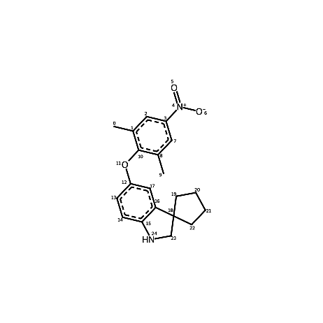 Cc1cc([N+](=O)[O-])cc(C)c1Oc1ccc2c(c1)C1(CCCC1)CN2